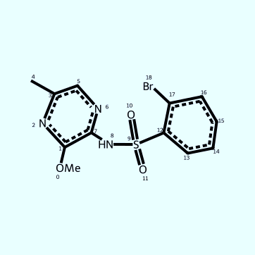 COc1nc(C)cnc1NS(=O)(=O)c1ccccc1Br